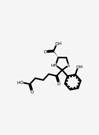 O=C(O)CCCC(=O)C1(c2ccccc2O)N[C@H](C(=O)O)CS1